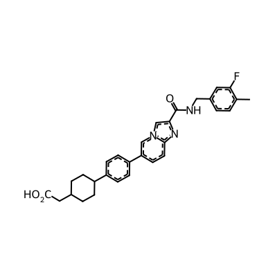 Cc1ccc(CNC(=O)c2cn3cc(-c4ccc(C5CCC(CC(=O)O)CC5)cc4)ccc3n2)cc1F